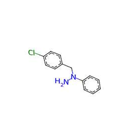 NN(Cc1ccc(Cl)cc1)c1ccccc1